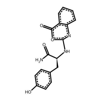 NC(=O)[C@H](Cc1ccc(O)cc1)Nc1nc2ccccc2c(=O)o1